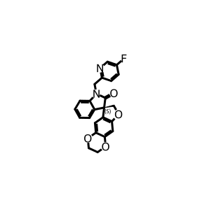 O=C1N(Cc2ccc(F)cn2)c2ccccc2[C@]12COc1cc3c(cc12)OCCO3